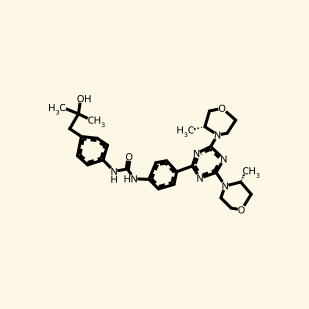 C[C@@H]1COCCN1c1nc(-c2ccc(NC(=O)Nc3ccc(CC(C)(C)O)cc3)cc2)nc(N2CCOC[C@H]2C)n1